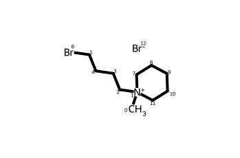 C[N+]1(CCCCBr)CCCCC1.[Br-]